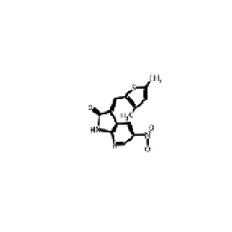 Cc1cc(C)c(C=C2C(=O)Nc3ncc([N+](=O)[O-])cc32)s1